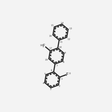 Fc1ccccc1-c1ccc(-c2ccccc2)c(F)c1